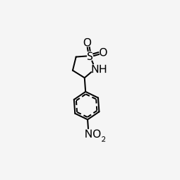 O=[N+]([O-])c1ccc(C2CCS(=O)(=O)N2)cc1